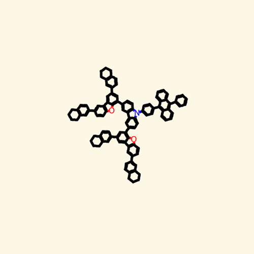 c1ccc(-c2c3ccccc3c(-c3ccc(-n4c5ccc(-c6cc(-c7ccc8c(c7)CCCC8)cc7c6oc6ccc(-c8ccc9c(c8)CCCC9)cc67)cc5c5cc(-c6cc(-c7ccc8c(c7)CCCC8)cc7c6oc6ccc(-c8ccc9c(c8)CCCC9)cc67)ccc54)cc3)c3ccccc23)cc1